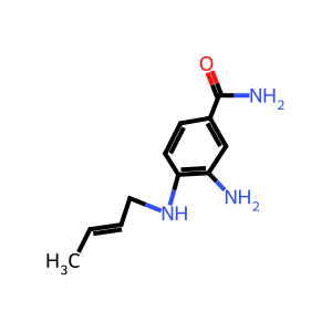 C/C=C/CNc1ccc(C(N)=O)cc1N